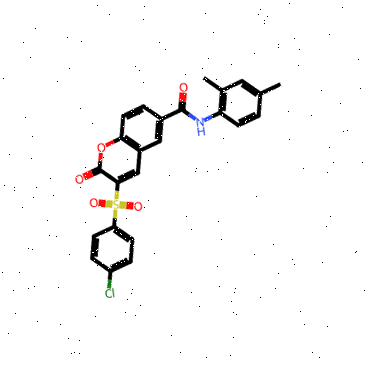 Cc1ccc(NC(=O)c2ccc3oc(=O)c(S(=O)(=O)c4ccc(Cl)cc4)cc3c2)c(C)c1